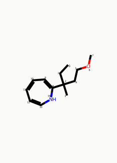 [CH2]CC(C)(CCOC)C1=CC=CC=CN1